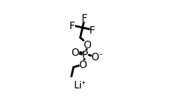 CCOP(=O)([O-])OCC(F)(F)F.[Li+]